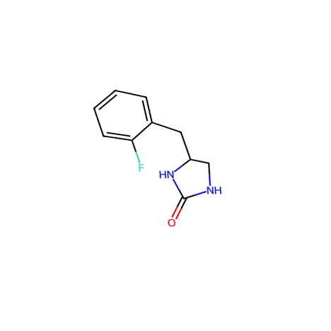 O=C1NCC(Cc2ccccc2F)N1